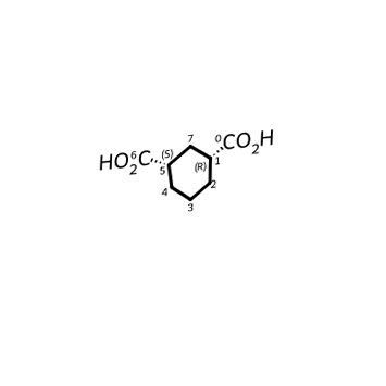 O=C(O)[C@@H]1CCC[C@H](C(=O)O)C1